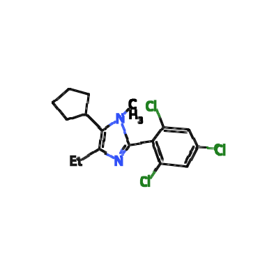 CCc1nc(-c2c(Cl)cc(Cl)cc2Cl)n(C)c1C1CCCC1